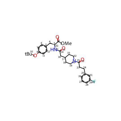 COC(=O)[C@H](Cc1ccc(OC(C)(C)C)cc1)NC(=O)CC1CCN(C(=O)CCc2cccc(F)c2)CC1